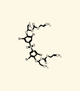 C=CCOC(=O)OC(CC)Oc1c(Br)cc(S(=O)(=O)c2cc(Br)c(OC(CC)OC(=O)OCC=C)c(Br)c2)cc1Br